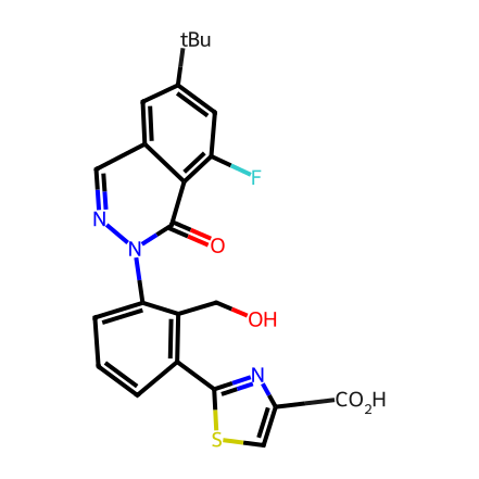 CC(C)(C)c1cc(F)c2c(=O)n(-c3cccc(-c4nc(C(=O)O)cs4)c3CO)ncc2c1